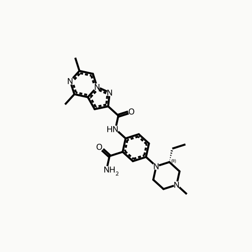 CC[C@@H]1CN(C)CCN1c1ccc(NC(=O)c2cc3c(C)nc(C)cn3n2)c(C(N)=O)c1